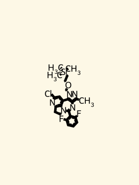 Cc1nn(COCC[Si](C)(C)C)c2c1N=C(c1c(F)cccc1F)N1CCc3nc(Cl)cc-2c31